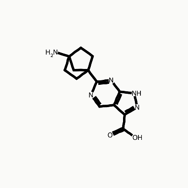 NC12CCC(c3ncc4c(C(=O)O)n[nH]c4n3)(CC1)C2